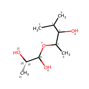 CC(C)C(O)C(C)OC(O)[C@H](C)O